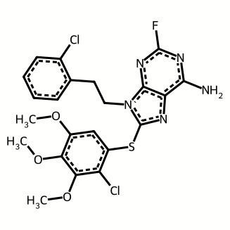 COc1cc(Sc2nc3c(N)nc(F)nc3n2CCc2ccccc2Cl)c(Cl)c(OC)c1OC